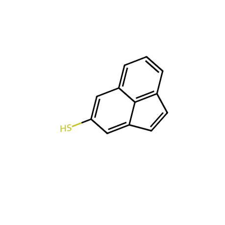 Sc1cc2c3c(cccc3c1)C=C2